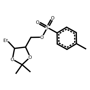 CCC1OC(C)(C)OC1COS(=O)(=O)c1ccc(C)cc1